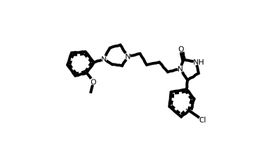 COc1ccccc1N1CCN(CCCCN2C(=O)NCC2c2cccc(Cl)c2)CC1